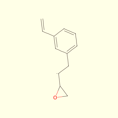 C=Cc1cccc(C[CH]C2CO2)c1